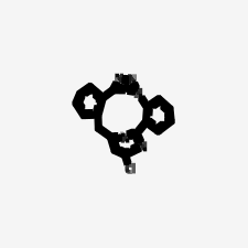 Clc1cc2nc(n1)-c1ccccc1-n1cc(nn1)-c1ccccc1C2